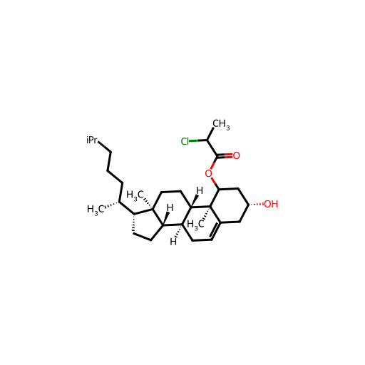 CC(C)CCC[C@@H](C)[C@H]1CC[C@H]2[C@@H]3CC=C4C[C@@H](O)CC(OC(=O)C(C)Cl)[C@]4(C)[C@H]3CC[C@]12C